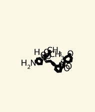 CC(C)(C)OC(=O)N(CCC#Cc1cccc2c1CN(C1CCC(=O)C=CC1=O)C2=O)[C@H]1CC[C@H](N)CC1